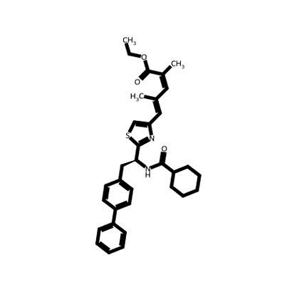 CCOC(=O)/C(C)=C\C(C)=C\c1csc([C@H](Cc2ccc(-c3ccccc3)cc2)NC(=O)C2CCCCC2)n1